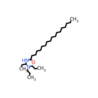 CCCCCCCCCCCCCCCCCC(=O)NC(CC)N(CCC)CCC